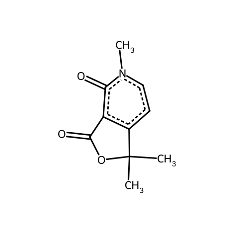 Cn1ccc2c(c1=O)C(=O)OC2(C)C